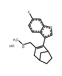 CNCC1=C(c2csc3cc(F)ccc23)C2CCC(C1)C2.Cl